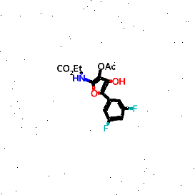 CCOC(=O)Nc1oc(-c2cc(F)cc(F)c2)c(O)c1OC(C)=O